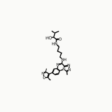 Cc1noc(C)c1-c1ccc2c(c1)nc(NCCCCNC(=O)C(O)C(C)C)c1nnc(C)n12